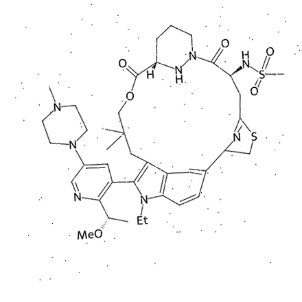 CCn1c(-c2cc(N3CCN(C)CC3)cnc2[C@H](C)OC)c2c3cc(ccc31)C1CSC(=N1)C[C@H](NS(C)(=O)=O)C(=O)N1CCC[C@H](N1)C(=O)OCC(C)(C)C2